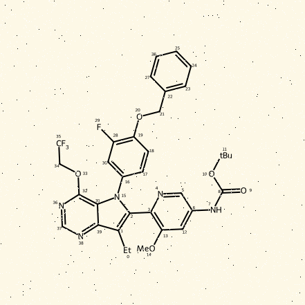 CCc1c(-c2ncc(NC(=O)OC(C)(C)C)cc2OC)n(-c2ccc(OCc3ccccc3)c(F)c2)c2c(OCC(F)(F)F)ncnc12